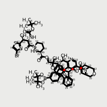 CCn1c(-c2cc(C3=CC4COCC(C3)N4C(=O)OCC3c4ccccc4-c4ccccc43)cnc2[C@H](C)OC)c(CC(C)(C)COC(=O)[C@@H]2CCCN(C(=O)[C@@H](NC(=O)OC(C)(C)C)[C@H](C)c3nc(Br)cs3)N2)c2cc(B3OC(C)(C)C(C)(C)O3)ccc21